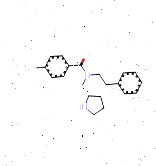 CC(=O)Nc1ccc(C(=O)N(CCc2ccccc2)C[C@@H]2CCCN2)cc1